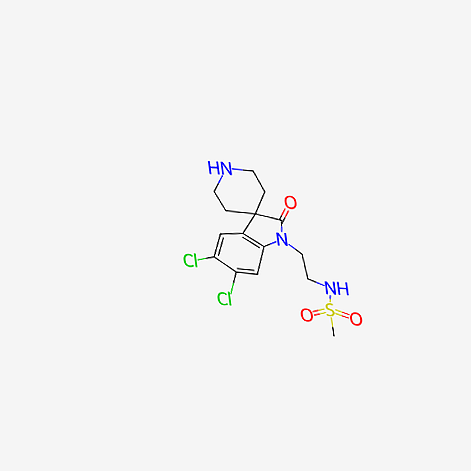 CS(=O)(=O)NCCN1C(=O)C2(CCNCC2)c2cc(Cl)c(Cl)cc21